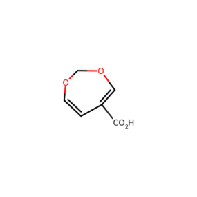 O=C(O)C1=COCOC=C1